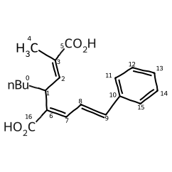 CCCCC(C=C(C)C(=O)O)C(=CC=Cc1ccccc1)C(=O)O